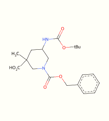 CC(C)(C)OC(=O)NC1CN(C(=O)OCc2ccccc2)CC(C)(C(=O)O)C1